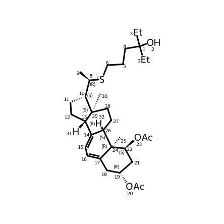 CCC(O)(CC)CCCS[C@H](C)[C@H]1CC[C@H]2C3=CC=C4C[C@@H](OC(C)=O)C[C@H](OC(C)=O)[C@]4(C)[C@H]3CC[C@]12C